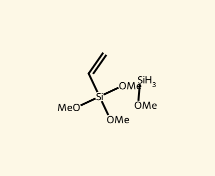 C=C[Si](OC)(OC)OC.CO[SiH3]